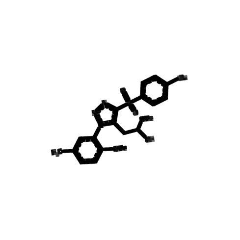 COc1ccc(C)cc1-n1nnc(S(=O)(=O)c2ccc(C(C)(C)C)cc2)c1CC(O)OC